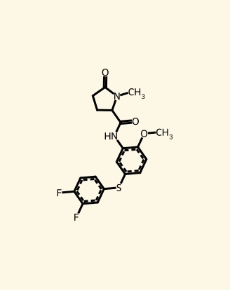 COc1ccc(Sc2ccc(F)c(F)c2)cc1NC(=O)C1CCC(=O)N1C